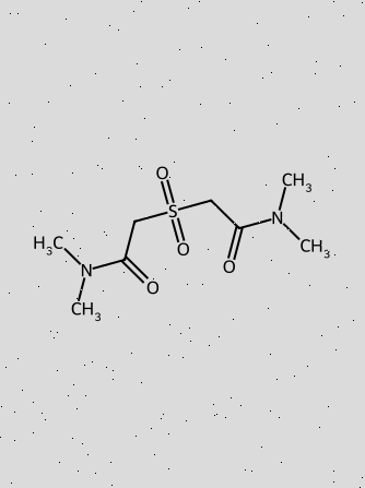 CN(C)C(=O)CS(=O)(=O)CC(=O)N(C)C